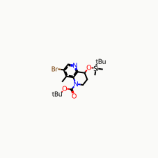 Cc1c(Br)cnc2c1N(C(=O)OC(C)(C)C)CCC2O[Si](C)(C)C(C)(C)C